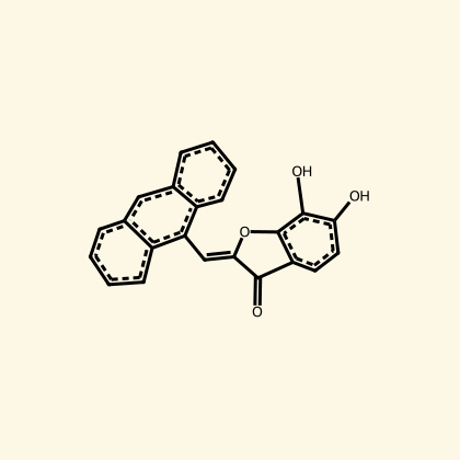 O=C1/C(=C/c2c3ccccc3cc3ccccc23)Oc2c1ccc(O)c2O